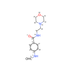 O=CNc1ccc(C(=O)NCCN2CCOCC2)cc1